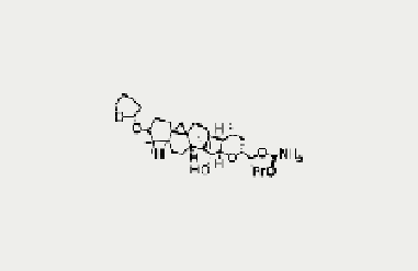 CC(C)[C@@H](OC(N)=O)[C@H]1C[C@@H](C)[C@H]2[C@H](O1)[C@H](O)[C@@]1(C)[C@@H]3CC[C@H]4C(C)(C)C(O[C@H]5CCCCO5)CCC45C[C@@]35CC[C@]21C